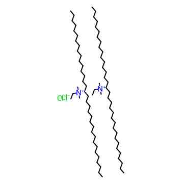 CCCCCCCCCCCCCCCCCC(CCCCCCCCCCCCCCCC)[N+](C)(C)CC.CCCCCCCCCCCCCCCCCC(CCCCCCCCCCCCCCCC)[N+](C)(C)CC.[Cl-].[Cl-]